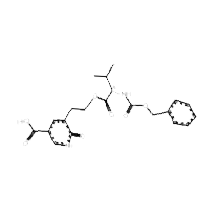 CC(C)[C@H](NC(=O)OCc1ccccc1)C(=O)OCCc1cc(C(=O)O)c[nH]c1=O